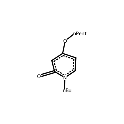 CCCCCOc1ccn(CCCC)c(=O)c1